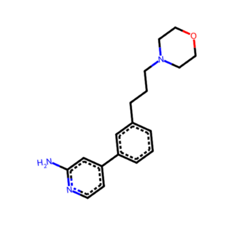 Nc1cc(-c2cccc(CCCN3CCOCC3)c2)ccn1